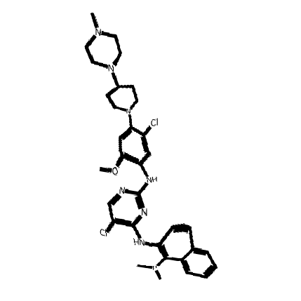 COc1cc(N2CCC(N3CCN(C)CC3)CC2)c(Cl)cc1Nc1ncc(Cl)c(Nc2ccc3ccccc3c2P(C)C)n1